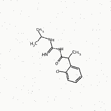 CC(C)NC(=N)NC(=O)C(C)c1ccccc1Cl